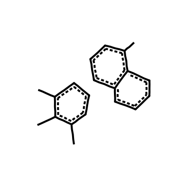 Cc1cccc(C)c1C.Cc1cccc2ccccc12